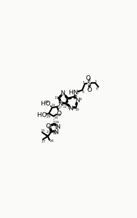 CCS(=O)(=O)CCNc1ncnc2c1ncn2[C@@H]1O[C@H](c2nnc(C(C)(C)C)o2)[C@@H](O)[C@H]1O